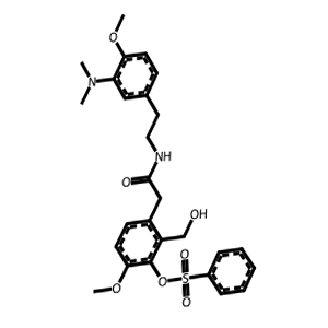 COc1ccc(CCNC(=O)Cc2ccc(OC)c(OS(=O)(=O)c3ccccc3)c2CO)cc1N(C)C